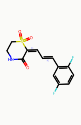 O=C1NCCS(=O)(=O)/C1=C/C=C/c1cc(F)ccc1F